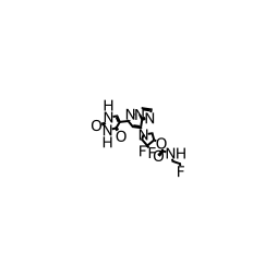 O=C(NCCF)OC1CN(c2cc(-c3c[nH]c(=O)[nH]c3=O)nn3ccnc23)CC1(F)F